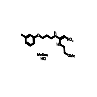 CNC.COCCNC(=C[N+](=O)[O-])NCCCOc1cccc(C)c1.Cl